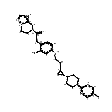 Cc1cnc(N2CCC([C@H]3C[C@H]3CCOc3ccc(CC(=O)N4CCn5ncnc5C4)c(F)c3)CC2)nc1